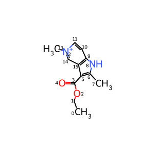 CCOC(=O)c1c(C)[nH]c2cc[n+](C)cc12